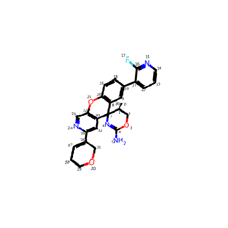 C[C@H]1COC(N)=NC12c1cc(-c3cccnc3F)ccc1Oc1cnc(C3=CCCOC3)cc12